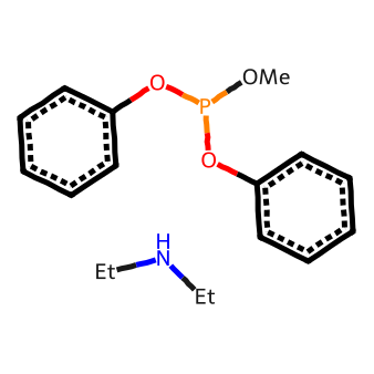 CCNCC.COP(Oc1ccccc1)Oc1ccccc1